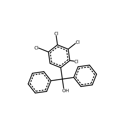 OC(c1ccccc1)(c1ccccc1)c1cc(Cl)c(Cl)c(Cl)c1Cl